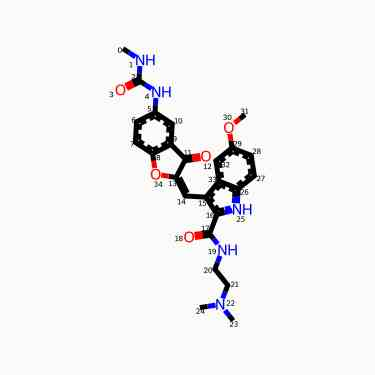 CNC(=O)Nc1ccc2c(c1)C(=O)C(=Cc1c(C(=O)NCCN(C)C)[nH]c3ccc(OC)cc13)O2